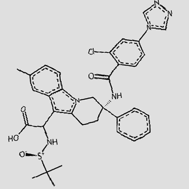 Cc1ccc2c(c1)c(C(N[S@+]([O-])C(C)(C)C)C(=O)O)c1n2C[C@@](NC(=O)c2ccc(-n3cnnc3)cc2Cl)(c2ccccc2)CC1